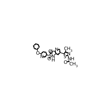 CC(=O)Nc1nc(C)c(-c2cnc(Cl)c(NS(=O)(=O)c3ccc(Oc4ccccc4)nc3)c2)s1